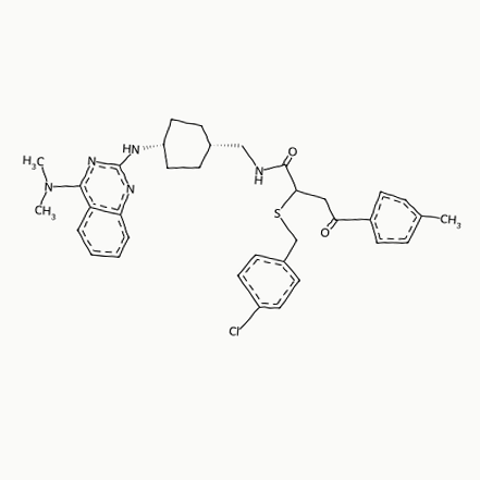 Cc1ccc(C(=O)CC(SCc2ccc(Cl)cc2)C(=O)NC[C@H]2CC[C@@H](Nc3nc(N(C)C)c4ccccc4n3)CC2)cc1